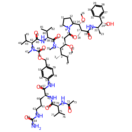 CC[C@H](C)[C@@H]([C@@H](CC(=O)N1CCCC1[C@H](OC)[C@@H](C)C(=O)N[C@H](C)[C@@H](O)c1ccccc1)OC)N(C)C(=O)[C@@H](NC(=O)[C@H](C(C)C)N(C)C(=O)OCc1ccc(NC(=O)[C@H](CCCNC(N)=O)NC(=O)[C@@H](NC(C)=O)C(C)C)cc1)C(C)C